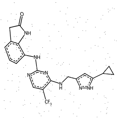 O=C1Cc2cccc(Nc3ncc(C(F)(F)F)c(NCc4cc(C5CC5)[nH]n4)n3)c2N1